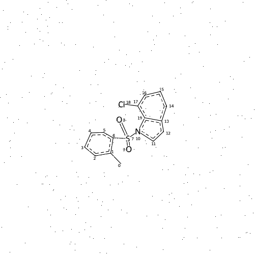 Cc1ccccc1S(=O)(=O)n1ccc2cccc(Cl)c21